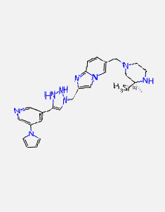 C[C@]1([SiH3])CN(Cc2ccc3nc(CN4C=C(c5cncc(-n6cccc6)c5)NN4)cn3c2)CCN1